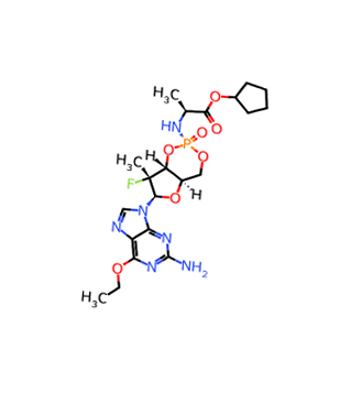 CCOc1nc(N)nc2c1ncn2[C@@H]1O[C@@H]2CO[P@](=O)(N[C@@H](C)C(=O)OC3CCCC3)O[C@H]2[C@@]1(C)F